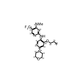 CNc1nc(Nc2cnc(N3CCOCC3)cc2OCCF)ncc1C(F)(F)F